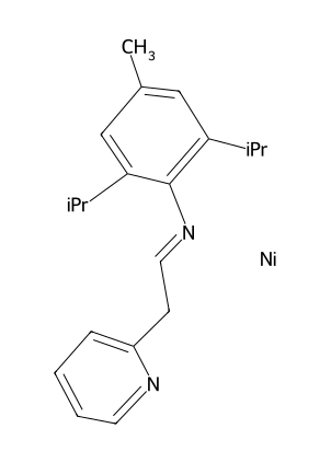 Cc1cc(C(C)C)c(N=CCc2ccccn2)c(C(C)C)c1.[Ni]